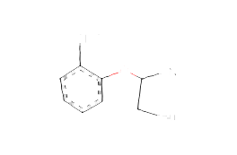 CCC(C)CC(C#N)Oc1ccccc1C=O